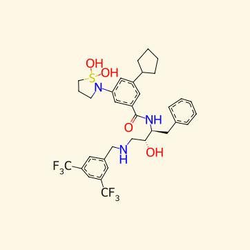 O=C(N[C@@H](Cc1ccccc1)[C@H](O)CNCc1cc(C(F)(F)F)cc(C(F)(F)F)c1)c1cc(C2CCCC2)cc(N2CCCS2(O)O)c1